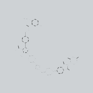 COc1ccc(F)cc1C(=O)NCc1ccc(-c2nn(C3CCN(C4CN(CC5CCN(c6ccc7c(c6)C(=O)N(C6CCC(=O)NC6=O)C7=O)CC5)C4)CC3)c(N)c2C(N)=O)cc1